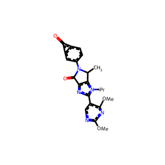 COc1ncc(-c2nc3c(n2C(C)C)C(C)N(c2ccc4c(=O)c4c2)C3=O)c(OC)n1